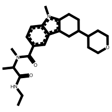 CCNC(=O)C(C)N(C)C(=O)c1ccc2c(c1)c1c(n2C)CCC(C2CCOCC2)C1